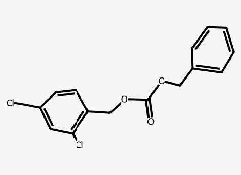 O=C(OCc1ccccc1)OCc1ccc(Cl)cc1Cl